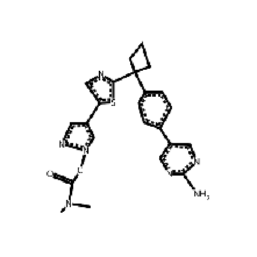 CN(C)C(=O)Cn1cc(-c2cnc(C3(c4ccc(-c5cnc(N)nc5)cc4)CCC3)s2)cn1